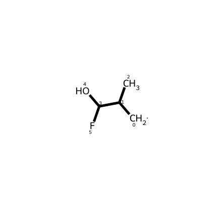 [CH2]C(C)C(O)F